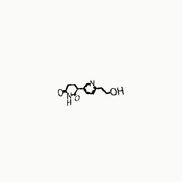 O=C1CCC(c2ccc(CCO)nc2)C(=O)N1